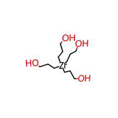 OCC[CH2][Zr]([CH2]CCO)([CH2]CCO)[CH2]CCO